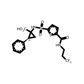 O=C(NCCC(F)(F)F)c1ccc(S(=O)(=O)NC2(C(=O)O)C[C@H]2c2ccccc2)s1